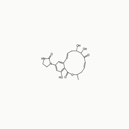 CC1C/C=C\C(=O)C(O)C(O)C/C=C/c2cc(N3CCNC3=O)cc(O)c2C(=O)O1